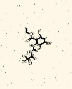 CCOC(=O)c1c(F)cc(Br)c(F)c1NC(=O)NC(=O)C(Cl)(Cl)Cl